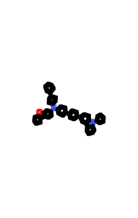 c1ccc(-c2ccc(N(c3ccc(-c4ccc(-c5ccc6c(c5)c5ccccc5n6-c5ccccc5)cc4)cc3)c3ccc4c(c3)oc3ccccc34)cc2)cc1